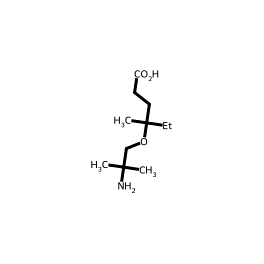 CCC(C)(CCC(=O)O)OCC(C)(C)N